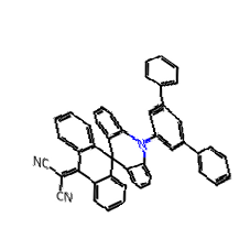 N#CC(C#N)=C1c2ccccc2C2(c3ccccc31)c1ccccc1N(c1cc(-c3ccccc3)cc(-c3ccccc3)c1)c1ccccc12